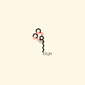 CCOC(=O)CCCCCCC1CC(OC2CCCCO2)CC1(C#N)OC1CCCCO1